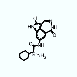 N[C@@H](C(=O)Nc1cc2c3c(c(Cl)[nH]c3c1)C=NNC2=O)C1CCCCC1